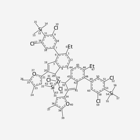 CCc1ccc2c(c1-c1cc(Cl)c([Si](C)(C)C)c(Cl)c1)C=C(c1cc(C)c(C)o1)[CH]2[Zr]([Cl])([Cl])([CH]1C(c2cc(C)c(C)o2)=Cc2c1ccc(CC)c2-c1cc(Cl)c([Si](C)(C)C)c(Cl)c1)=[Si](C)C